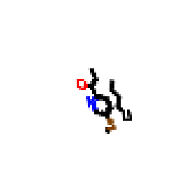 CCC(=O)c1ccc(SC)cn1.[Li][CH2]CCC